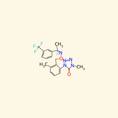 C/C(=N/OCc1c(C)cccc1-n1nnn(C)c1=O)c1cccc(C(F)(F)F)c1